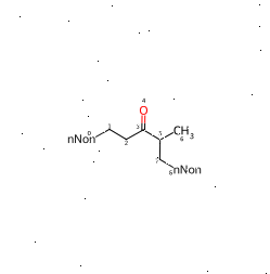 CCCCCCCCCCCC(=O)C(C)CCCCCCCCCC